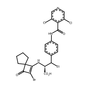 CCC(c1ccc(NC(=O)c2c(Cl)cncc2Cl)cc1)[C@H](NC1=C(Br)C(=O)C12CCCC2)C(=O)O